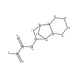 C=C(C)C(=O)OC1CC2CC1C1CCCCC21